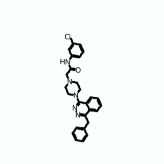 O=C(CN1CCN(c2nnc(Cc3ccccc3)c3ccccc23)CC1)Nc1cccc(Cl)c1